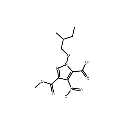 CCC(C)COn1nc(C(=O)OC)c([N+](=O)[O-])c1C(=O)O